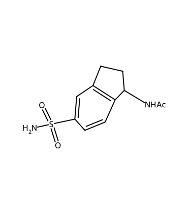 CC(=O)NC1CCc2cc(S(N)(=O)=O)ccc21